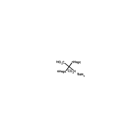 CCCCCCCC(CCCCCCC)(C(=O)O)C(=O)O.[BaH2]